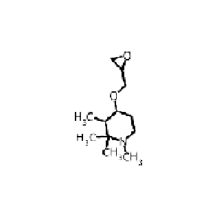 CC1C(OCC2CO2)CCN(C)C1(C)C